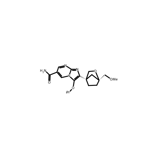 COC[C@@]12CC[C@@](c3nc4ncc(C(N)=O)cn4c3OC(C)C)(CO1)C2